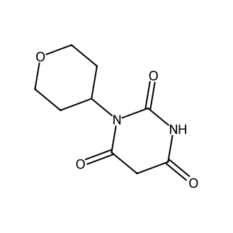 O=C1CC(=O)N(C2CCOCC2)C(=O)N1